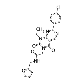 CCn1c(=O)n(CC(=O)NCc2ccco2)c(=O)c2cnc(-c3ccc(Cl)cc3)nc21